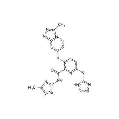 Cc1nsc(NC(=O)c2nc(Sc3nnc[nH]3)ccc2Sc2ccn3c(C)nnc3c2)n1